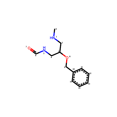 CNCC(CNC=O)OCc1ccccc1